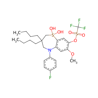 CCCCC1(CCCC)CN(c2ccc(F)cc2)c2cc(OC)c(OS(=O)(=O)C(F)(F)F)cc2S(O)(O)C1